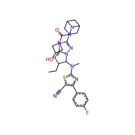 CCC1N=C2SC(N3CC4CC(C3)N4CC(=O)N3CC(O)C3)=NN2C1N(C)c1nc(-c2ccc(F)cc2)c(C#N)s1